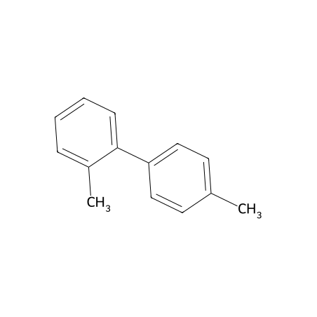 Cc1ccc(-c2ccccc2C)cc1